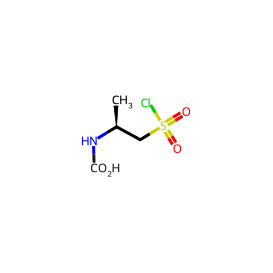 C[C@@H](CS(=O)(=O)Cl)NC(=O)O